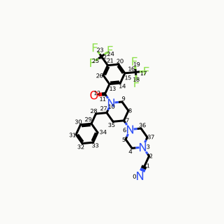 N#CCN1CCN(C2CCN(C(=O)c3cc(C(F)(F)F)cc(C(F)(F)F)c3)C(Cc3ccccc3)C2)CC1